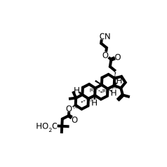 C=C(C)C1CC[C@]2(CCC(=O)OCCC#N)CC[C@]3(C)[C@H](CC[C@@H]4[C@@]5(C)CC[C@H](OC(=O)CC(C)(C)C(=O)O)C(C)(C)[C@@H]5CC[C@]43C)[C@@H]12